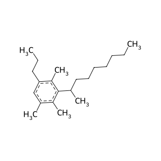 CCCCCCCC(C)c1c(C)c(C)cc(CCC)c1C